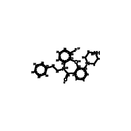 O=C1c2cccc(N3CCNCC3)c2Oc2c(F)cccc2N1CCc1ccccc1